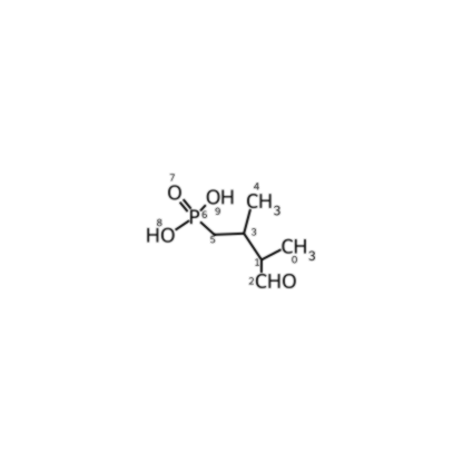 CC(C=O)C(C)CP(=O)(O)O